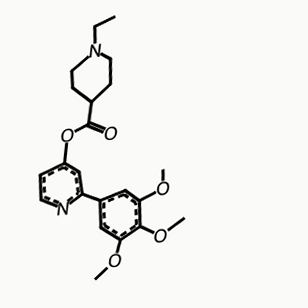 CCN1CCC(C(=O)Oc2ccnc(-c3cc(OC)c(OC)c(OC)c3)c2)CC1